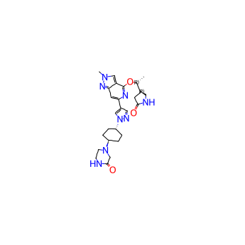 C[C@@H](Oc1nc(-c2cnn([C@H]3CC[C@H](N4CCNC(=O)C4)CC3)c2)cc2nn(C)cc12)[C@H]1CNC(=O)C1